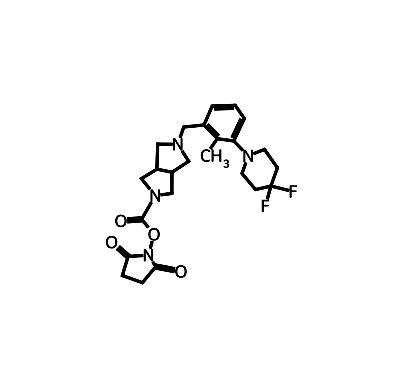 Cc1c(CN2CC3CN(C(=O)ON4C(=O)CCC4=O)CC3C2)cccc1N1CCC(F)(F)CC1